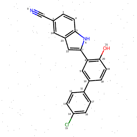 N#Cc1ccc2[nH]c(-c3cc(-c4ccc(Cl)cc4)ccc3O)cc2c1